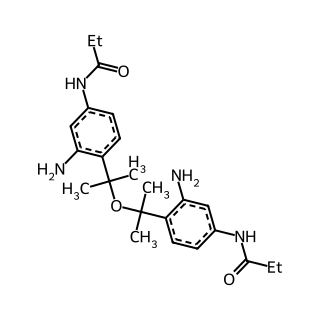 CCC(=O)Nc1ccc(C(C)(C)OC(C)(C)c2ccc(NC(=O)CC)cc2N)c(N)c1